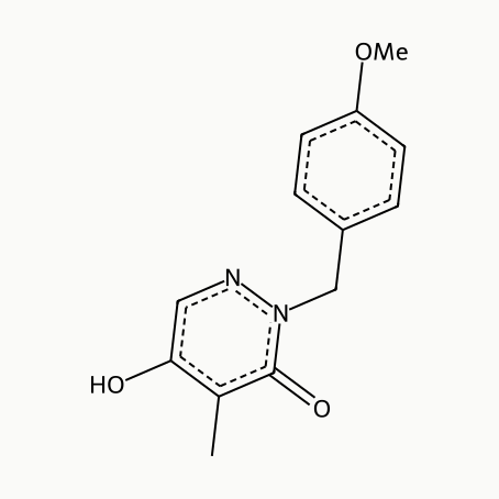 COc1ccc(Cn2ncc(O)c(C)c2=O)cc1